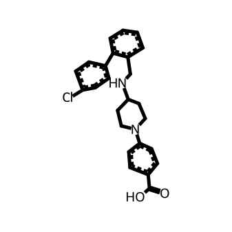 O=C(O)c1ccc(N2CCC(NCc3ccccc3-c3ccc(Cl)cc3)CC2)cc1